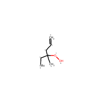 C=CCC(C)(CCCCC)OO